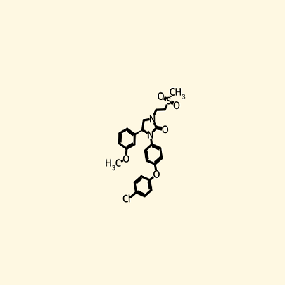 COc1cccc([C@H]2CN(CCS(C)(=O)=O)C(=O)N2c2ccc(Oc3ccc(Cl)cc3)cc2)c1